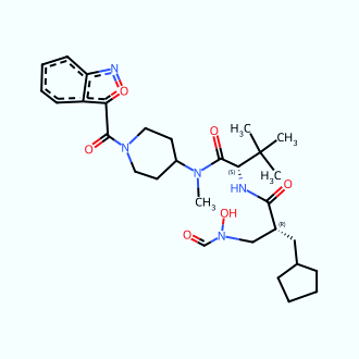 CN(C(=O)[C@@H](NC(=O)[C@H](CC1CCCC1)CN(O)C=O)C(C)(C)C)C1CCN(C(=O)c2onc3ccccc23)CC1